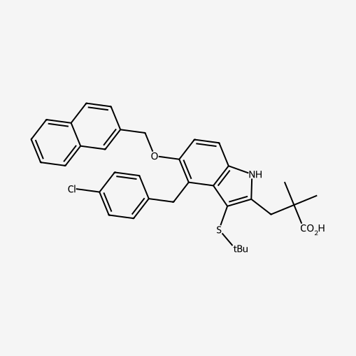 CC(C)(C)Sc1c(CC(C)(C)C(=O)O)[nH]c2ccc(OCc3ccc4ccccc4c3)c(Cc3ccc(Cl)cc3)c12